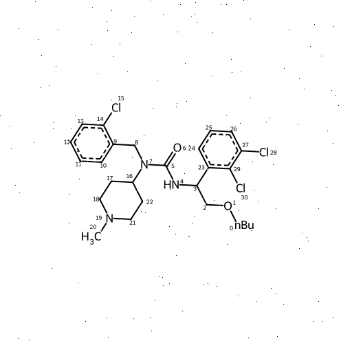 CCCCOCC(NC(=O)N(Cc1ccccc1Cl)C1CCN(C)CC1)c1cccc(Cl)c1Cl